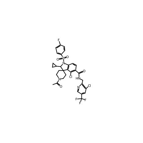 CC(=O)N1CCC2(CC1)c1c(ccc(C(=O)NCc3ncc(C(F)(F)F)cc3Cl)c1Cl)N(S(=O)(=O)c1ccc(F)cc1)C2C1CC1